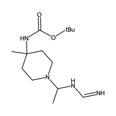 CC(NC=N)N1CCC(C)(NC(=O)OC(C)(C)C)CC1